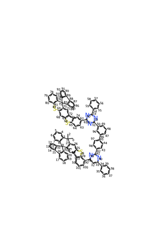 CC1(C)c2ccccc2C2(c3ccccc3-c3ccccc32)c2cc3c(cc21)sc1c(-c2cc(-c4ccccc4)nc(-c4ccc(-c5cccc(-c6nc(-c7ccccc7)nc(-c7ccc8sc9cc%10c(cc9c8c7)C7(c8ccccc8S%10)c8ccccc8-c8ccccc87)n6)c5)cc4)n2)cccc13